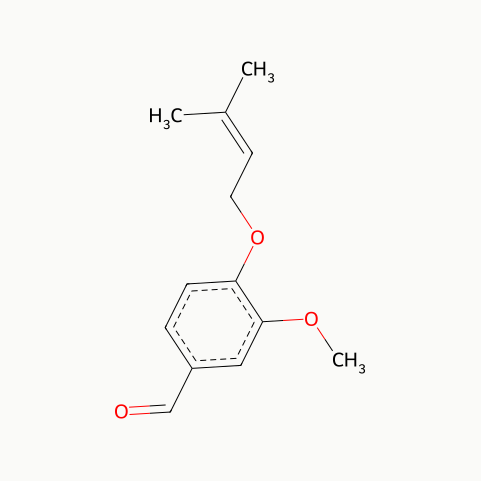 COc1cc(C=O)ccc1OCC=C(C)C